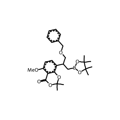 COc1ccc(C(COCc2ccccc2)CB2OC(C)(C)C(C)(C)O2)c2c1C(=O)OC(C)(C)O2